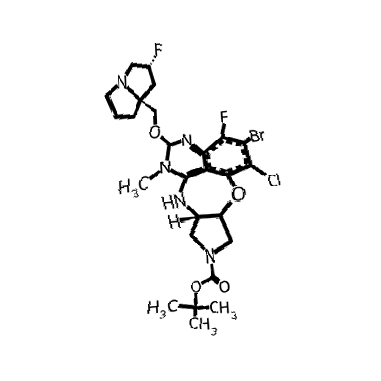 CN1C2=c3c(c(Cl)c(Br)c(F)c3=NC1OC[C@@]13CCCN1C[C@H](F)C3)OC1CN(C(=O)OC(C)(C)C)C[C@@H]1N2